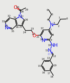 CCCN(CCC)c1cc(N/N=C/c2cccc(C)c2)nc(OCCc2cn(C(C)=O)c3ccncc23)c1